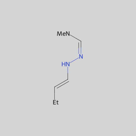 CC/C=C/N/N=C\NC